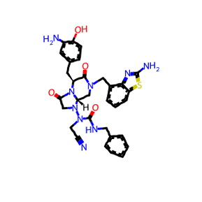 N#CCN(C(=O)NCc1ccccc1)N1CC(=O)N2[C@@H](Cc3ccc(O)c(N)c3)C(=O)N(Cc3cccc4sc(N)nc34)C[C@@H]21